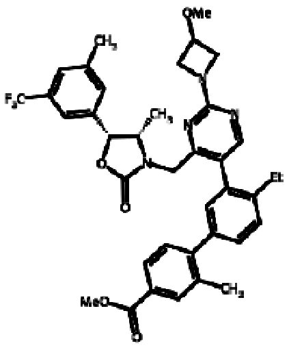 CCc1ccc(-c2ccc(C(=O)OC)cc2C)cc1-c1cnc(N2CC(OC)C2)nc1CN1C(=O)O[C@H](c2cc(C)cc(C(F)(F)F)c2)[C@@H]1C